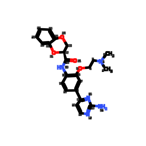 CN(C)CCOc1cc(-c2ccnc(N)n2)ccc1NC(=O)[C@@H]1COc2ccccc2O1